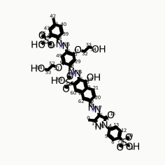 CC1=NN(c2ccc(S(=O)(=O)O)cc2)C(=O)C1/N=N/c1ccc2c(O)c(/N=N/c3cc(OCCO)c(/N=N/c4ccc(C)cc4S(=O)(=O)O)cc3OCCO)c(S(=O)(=O)O)cc2c1